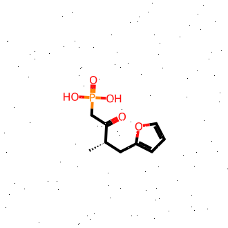 C[C@@H](Cc1ccco1)C(=O)CP(=O)(O)O